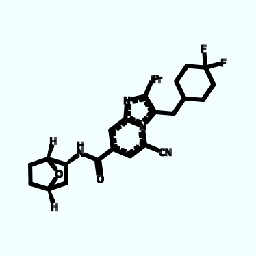 CC(C)c1nc2cc(C(=O)N[C@H]3C[C@@H]4CC[C@H]3O4)cc(C#N)n2c1CC1CCC(F)(F)CC1